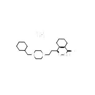 Cl.Cl.O=c1[nH]nc(CCN2CCN(CC3CCCCC3)CC2)c2c1CCCC2